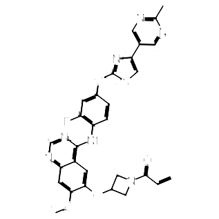 C=CC(=O)N1CC(Oc2cc3c(Nc4ccc(Oc5nc(-c6cnc(C)nc6)cs5)cc4F)ncnc3cc2OC)C1